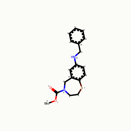 CC(C)(C)OC(=O)N1CCSc2ccc(NCc3ccccc3)cc2C1